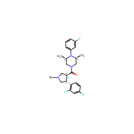 C[C@@H]1CN(C(=O)[C@@H]2CN(C(C)(C)C)C[C@H]2c2ccc(F)cc2F)C[C@H](C)N1c1cccc(F)c1